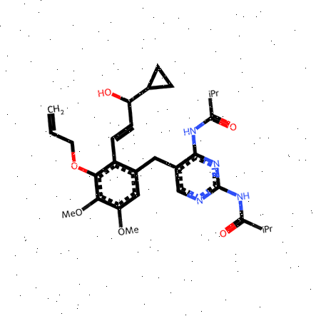 C=CCOc1c(C=CC(O)C2CC2)c(Cc2cnc(NC(=O)C(C)C)nc2NC(=O)C(C)C)cc(OC)c1OC